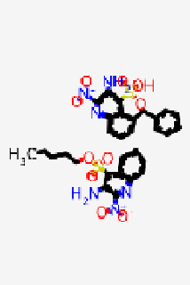 CCCCCOS(=O)(=O)c1c(N)c([N+](=O)[O-])nc2ccccc12.Nc1c([N+](=O)[O-])nc2cccc(Cc3ccccc3)c2c1S(=O)(=O)O